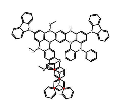 CSN1c2cc3c(cc2B2c4cc5c(cc4N(SC)c4cc(-n6c7ccccc7c7ccccc76)cc1c42)N(SC)c1cc(-n2c4ccccc4c4ccccc42)cc2c1B5c1ccccc1N2c1ccccc1)B1c2ccccc2N(c2ccccc2)c2cc(-n4c5ccccc5c5ccccc54)cc(c21)N3